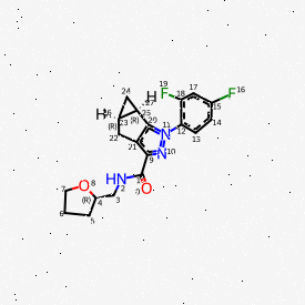 O=C(NC[C@H]1CCCO1)c1nn(-c2ccc(F)cc2F)c2c1C[C@H]1C[C@@H]21